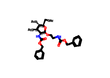 CC(=O)OC[C@H]1O[C@@H](OCCNC(=O)OCc2ccccc2)[C@H](NC(=O)OCc2ccccc2)[C@@H](OC(C)=O)[C@@H]1OC(C)=O